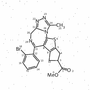 COC(=O)C1Cc2sc3c(c2C1)C(c1ccccc1Br)=NCc1nnc(C)n1-3